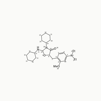 CCN(CC)c1ccc(CC2OC(NC3CCCCC3)N(C3CCCCC3)C2=O)c(OC)c1